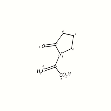 C=C(C(=O)O)N1CCCC1=O